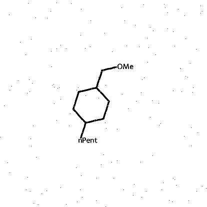 CCCCCC1CCC(COC)CC1